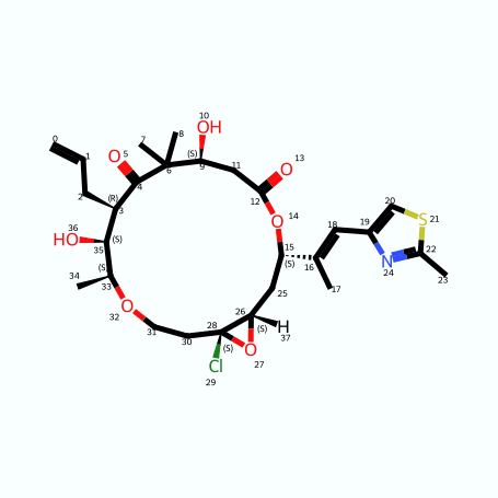 C=CC[C@H]1C(=O)C(C)(C)[C@@H](O)CC(=O)O[C@H](C(C)=Cc2csc(C)n2)C[C@@H]2O[C@]2(Cl)CCO[C@@H](C)[C@H]1O